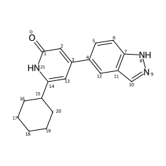 O=c1cc(-c2ccc3[nH]ncc3c2)cc(C2CCCCC2)[nH]1